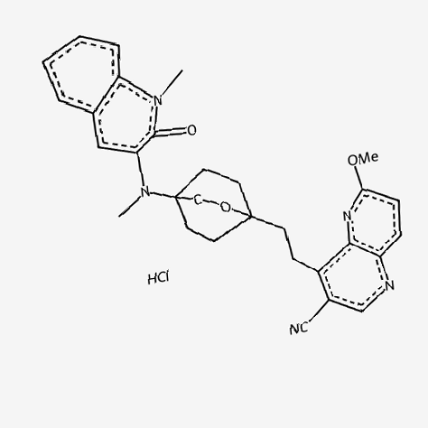 COc1ccc2ncc(C#N)c(CCC34CCC(N(C)c5cc6ccccc6n(C)c5=O)(CC3)CO4)c2n1.Cl